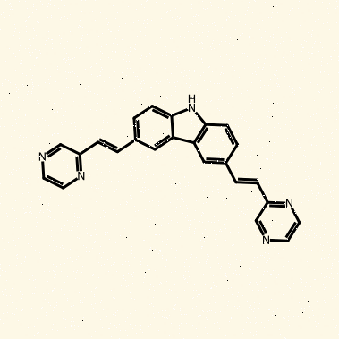 C(=C\c1cnccn1)/c1ccc2[nH]c3ccc(/C=C/c4cnccn4)cc3c2c1